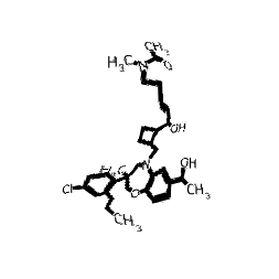 CCCc1cc(Cl)ccc1C1(C)COc2ccc(C(C)O)cc2N(CC2CCC2C(O)/C=C/CCN(C)C(C)=O)C1